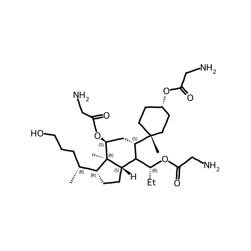 CC[C@@H](OC(=O)CN)C1[C@@H]2CC[C@H]([C@H](C)CCCO)[C@@]2(C)[C@@H](OC(=O)CN)C[C@@H]1[C@]1(C)CC[C@H](OC(=O)CN)CC1